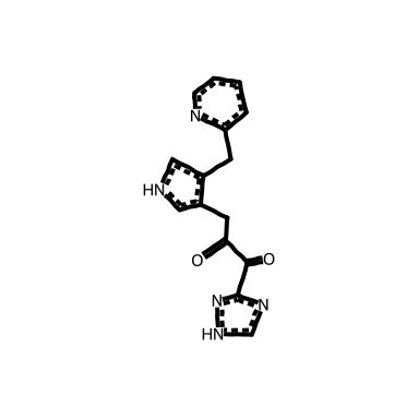 O=C(Cc1c[nH]cc1Cc1ccccn1)C(=O)c1nc[nH]n1